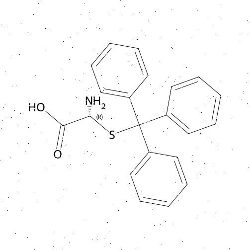 N[C@H](SC(c1ccccc1)(c1ccccc1)c1ccccc1)C(=O)O